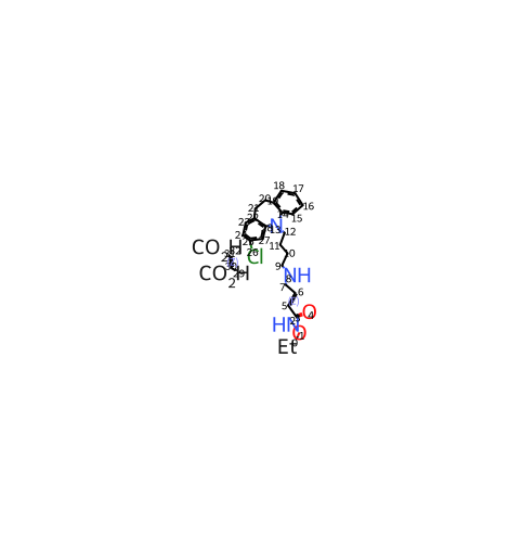 CCONC(=O)/C=C/CNCCCCN1c2ccccc2CCc2ccc(Cl)cc21.O=C(O)/C=C\C(=O)O